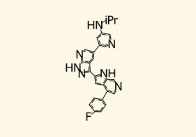 CC(C)Nc1cncc(-c2cnc3[nH]nc(-c4cc5c(-c6ccc(F)cc6)cncc5[nH]4)c3c2)c1